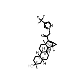 C[C@@]1(O)CC[C@H]2[C@H](CC[C@@H]3[C@@H]2CC[C@]2(C)C(C(=O)Cn4cc(C(F)(F)F)cn4)=C4C[C@H]4[C@@H]32)C1